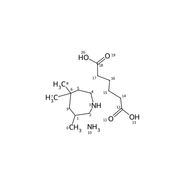 CC1CNCCC(C)(C)C1.N.O=C(O)CCCCC(=O)O